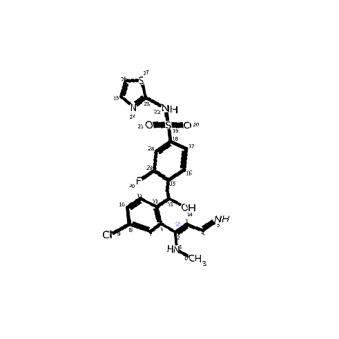 CN/C(=C\C=N)c1cc(Cl)ccc1C(O)C1C=CC(S(=O)(=O)Nc2nccs2)=CC1F